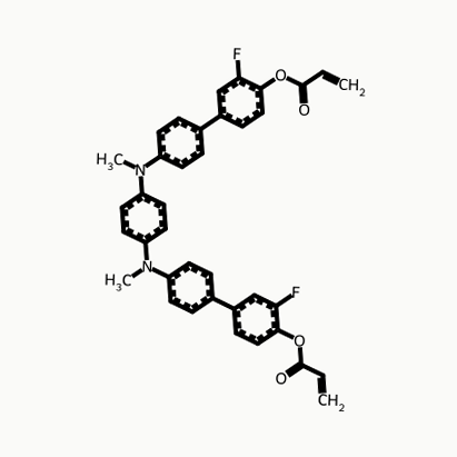 C=CC(=O)Oc1ccc(-c2ccc(N(C)c3ccc(N(C)c4ccc(-c5ccc(OC(=O)C=C)c(F)c5)cc4)cc3)cc2)cc1F